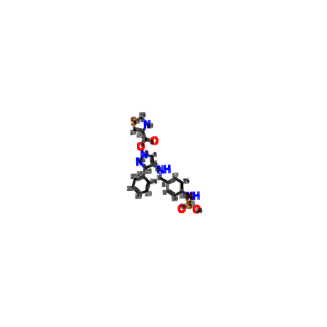 O=C(On1cc(NCc2ccc(N[SH](=O)=O)cc2)c(-c2ccccc2)n1)c1cscn1